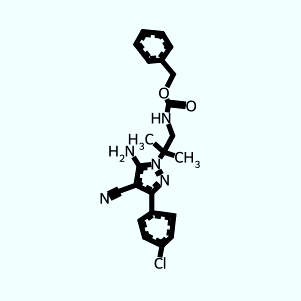 CC(C)(CNC(=O)OCc1ccccc1)n1nc(-c2ccc(Cl)cc2)c(C#N)c1N